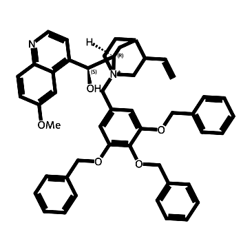 C=CC1C[N+]2(Cc3cc(OCc4ccccc4)c(OCc4ccccc4)c(OCc4ccccc4)c3)CCC1C[C@@H]2[C@@H](O)c1ccnc2ccc(OC)cc12